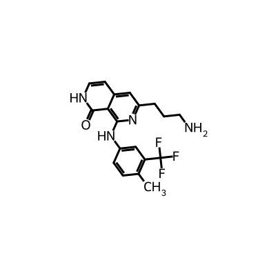 Cc1ccc(Nc2nc(CCCN)cc3cc[nH]c(=O)c23)cc1C(F)(F)F